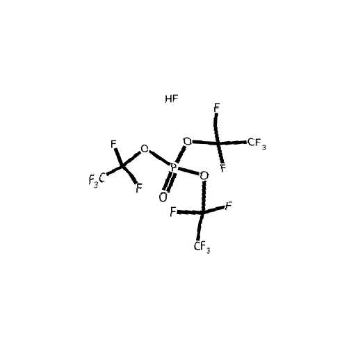 F.O=P(OC(F)(F)C(F)(F)F)(OC(F)(F)C(F)(F)F)OC(F)(F)C(F)(F)F